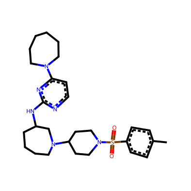 Cc1ccc(S(=O)(=O)N2CCC(N3CCCCC(Nc4nccc(N5CCCCCC5)n4)C3)CC2)cc1